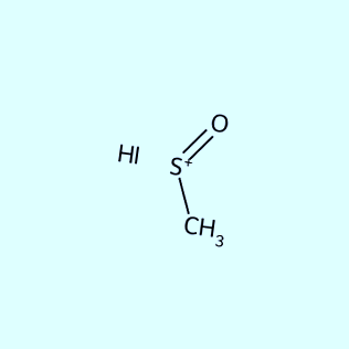 C[S+]=O.I